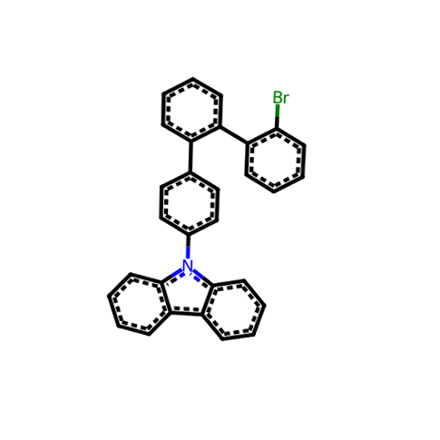 Brc1ccccc1-c1ccccc1-c1ccc(-n2c3ccccc3c3ccccc32)cc1